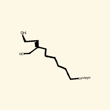 CCCCCCCCCCCCCC(=CCO)CO